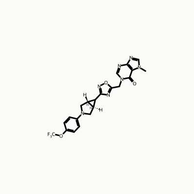 Cn1cnc2ncn(Cc3nc(C4[C@H]5CN(c6ccc(OC(F)(F)F)cc6)C[C@H]45)no3)c(=O)c21